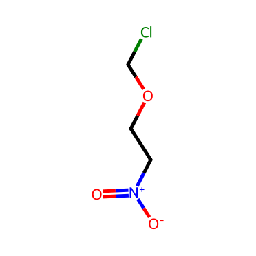 O=[N+]([O-])CCOCCl